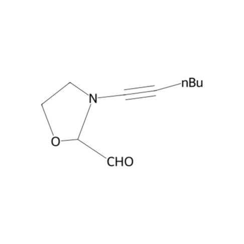 CCCCC#CN1CCOC1C=O